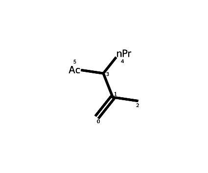 C=C(C)C(CCC)C(C)=O